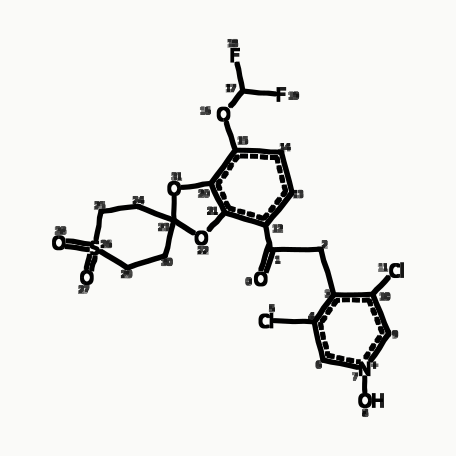 O=C(Cc1c(Cl)c[n+](O)cc1Cl)c1ccc(OC(F)F)c2c1OC1(CCS(=O)(=O)CC1)O2